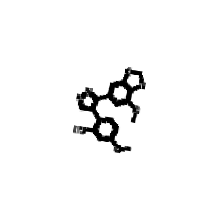 COc1ccc(-c2csnc2-c2cc(OC)c3c(c2)OCO3)c(O)c1